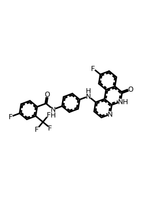 O=C(Nc1ccc(Nc2ccnc3[nH]c(=O)c4ccc(F)cc4c23)cc1)c1ccc(F)cc1C(F)(F)F